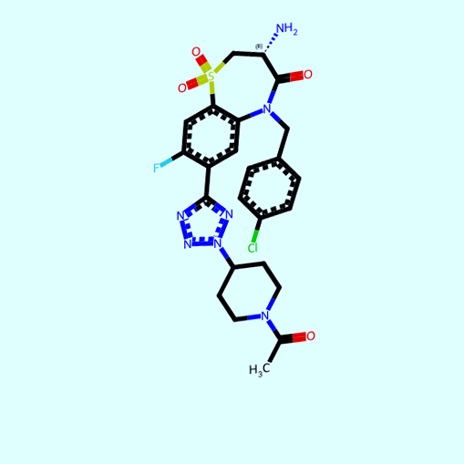 CC(=O)N1CCC(n2nnc(-c3cc4c(cc3F)S(=O)(=O)C[C@H](N)C(=O)N4Cc3ccc(Cl)cc3)n2)CC1